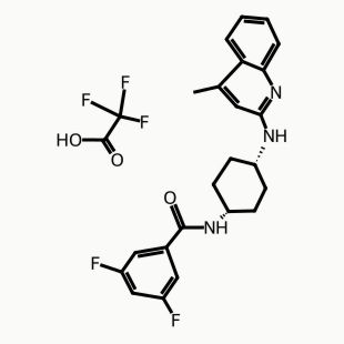 Cc1cc(N[C@H]2CC[C@@H](NC(=O)c3cc(F)cc(F)c3)CC2)nc2ccccc12.O=C(O)C(F)(F)F